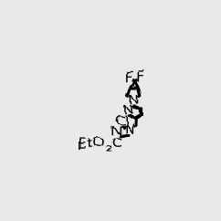 CCOC(=O)c1cn(Cc2ccc(N3CC4C(C3)C4(F)F)nc2)c(Cl)n1